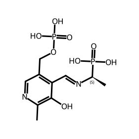 Cc1ncc(COP(=O)(O)O)c(C=N[C@H](C)P(=O)(O)O)c1O